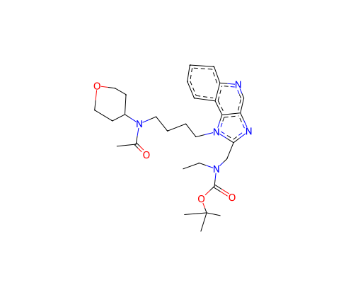 CCN(Cc1nc2cnc3ccccc3c2n1CCCCN(C(C)=O)C1CCOCC1)C(=O)OC(C)(C)C